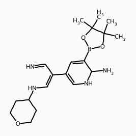 CC1(C)OB(C2=CC(/C(C=N)=C/NC3CCOCC3)=CNC2N)OC1(C)C